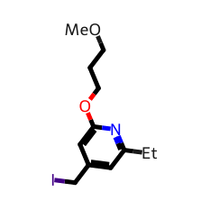 CCc1cc(CI)cc(OCCCOC)n1